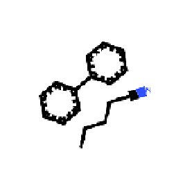 CCCCC#N.c1ccc(-c2ccccc2)cc1